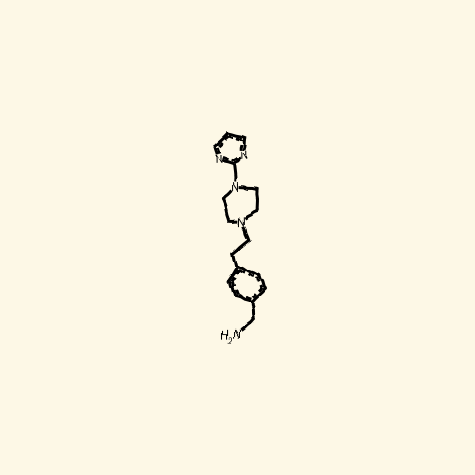 NCc1ccc(CCN2CCN(c3ncccn3)CC2)cc1